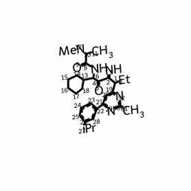 CCC(C(=N)C(=O)C(NC(=O)C(C)NC)C1CCCCC1)c1cc(-c2cccc(C(C)C)c2)nc(C)n1